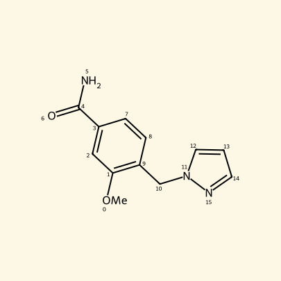 COc1cc(C(N)=O)ccc1Cn1cccn1